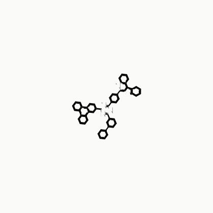 c1ccc(-c2cccc(-c3nc(-c4ccc(-c5nc6ccccc6c6c5sc5ccccc56)cc4)nc(-c4ccc5c6ccccc6c6ccccc6c5c4)n3)c2)cc1